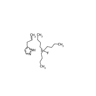 C=CCc1ccn[nH]1.CCC[CH2][Sn]([F])([CH2]CCC)[CH2]CCC